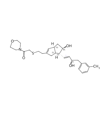 Cc1cccc(C[C@@H](O)/C=C/[C@@H]2[C@H]3CC(CCSCC(=O)N4CCOCC4)=C[C@H]3C[C@H]2O)c1